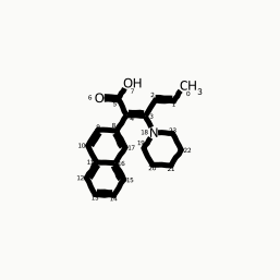 CC=CC(=C(C(=O)O)c1ccc2ccccc2c1)N1CCCCC1